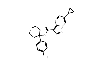 Bc1ccc(C2(NC(=O)c3cnn4cc(C5CC5)cnc34)CCOCC2)cc1